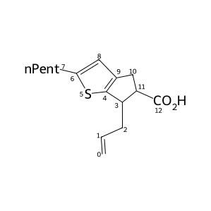 C=CCC1c2sc(CCCCC)cc2CC1C(=O)O